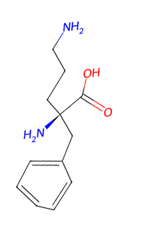 NCCC[C@@](N)(Cc1ccccc1)C(=O)O